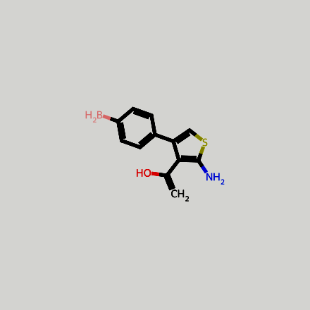 Bc1ccc(-c2csc(N)c2C(=C)O)cc1